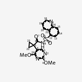 COc1ncc(C2(C(=O)NS(=O)(=O)c3cccc4ncccc34)CC2)c(OC)n1